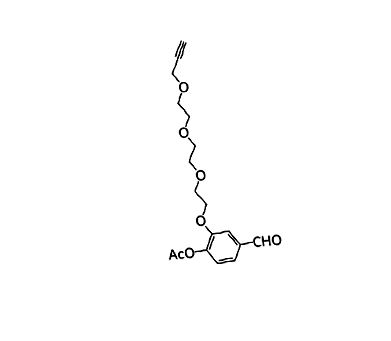 C#CCOCCOCCOCCOc1cc(C=O)ccc1OC(C)=O